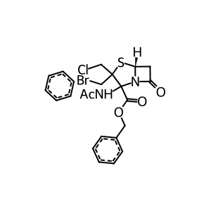 CC(=O)NC1(C(=O)OCc2ccccc2)N2C(=O)C[C@H]2SC1(CCl)CBr.c1ccccc1